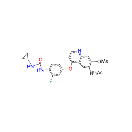 COc1cc2nccc(Oc3ccc(NC(=O)NC4CC4)c(F)c3)c2cc1NC(C)=O